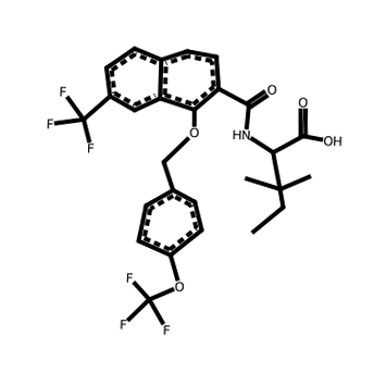 CCC(C)(C)C(NC(=O)c1ccc2ccc(C(F)(F)F)cc2c1OCc1ccc(OC(F)(F)F)cc1)C(=O)O